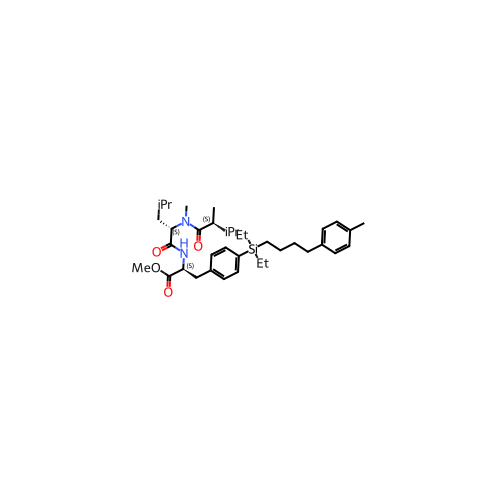 CC[Si](CC)(CCCCc1ccc(C)cc1)c1ccc(C[C@H](NC(=O)[C@H](CC(C)C)N(C)C(=O)[C@@H](C)C(C)C)C(=O)OC)cc1